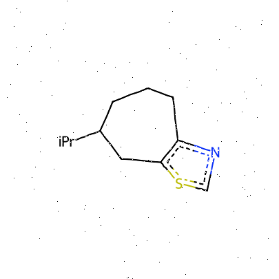 CC(C)C1CCCc2ncsc2C1